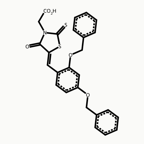 O=C(O)CN1C(=O)C(=Cc2ccc(OCc3ccccc3)cc2OCc2ccccc2)SC1=S